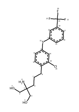 NC(CO)(CO)CCCc1ccc(Sc2cccc(C(F)(F)F)c2)cc1Cl